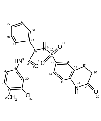 Cc1ccc(NC(=O)C(NS(=O)(=O)c2ccc3c(c2)CCC(=O)N3)c2ccccc2)cc1Cl